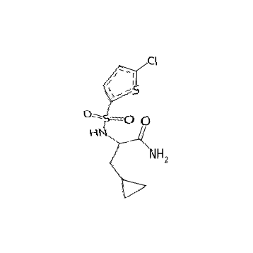 NC(=O)C(CC1CC1)NS(=O)(=O)c1ccc(Cl)s1